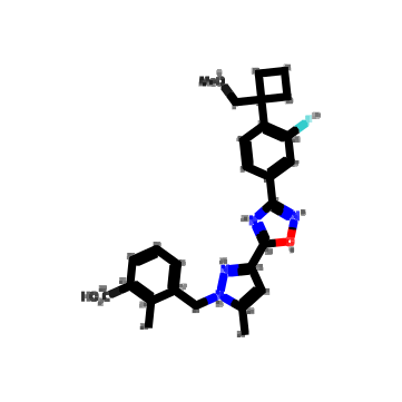 COCC1(c2ccc(-c3noc(-c4cc(C)n(Cc5cccc(C(=O)O)c5C)n4)n3)cc2F)CCC1